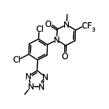 Cn1nnc(-c2cc(-n3c(=O)cc(C(F)(F)F)n(C)c3=O)c(Cl)cc2Cl)n1